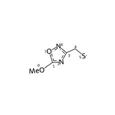 COc1nc(C[S])no1